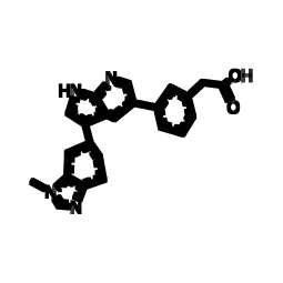 Cn1cnc2ccc(-c3c[nH]c4ncc(-c5cccc(CC(=O)O)c5)cc34)cc21